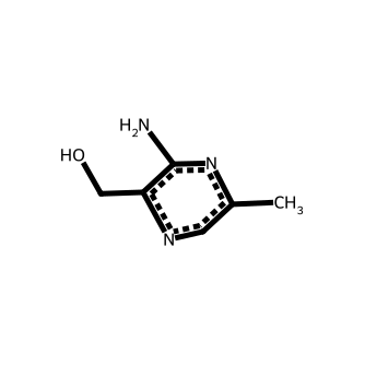 Cc1cnc(CO)c(N)n1